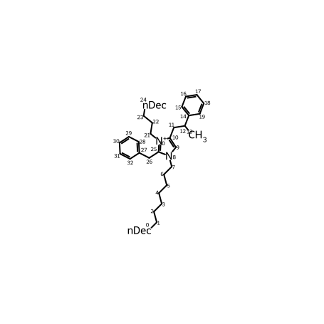 CCCCCCCCCCCCCCCCCn1cc(CC(C)c2ccccc2)[n+](CCCCCCCCCCCCC)c1Cc1ccccc1